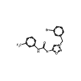 O=C([N-]c1c[n+](Cc2cccc(Br)c2)no1)Nc1cccc(C(F)(F)F)c1